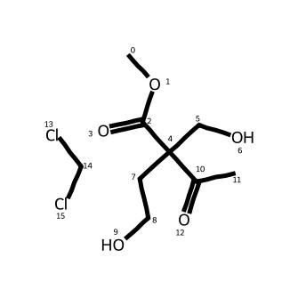 COC(=O)C(CO)(CCO)C(C)=O.ClCCl